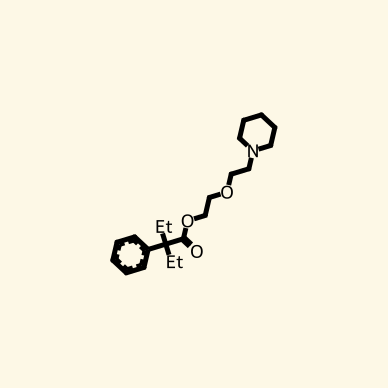 CCC(CC)(C(=O)OCCOCCN1CCCCC1)c1ccccc1